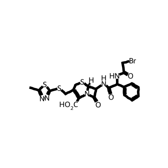 Cc1nnc(SCC2=C(C(=O)O)N3C(=O)C(NC(=O)C(NC(=O)CBr)c4ccccc4)[C@H]3SC2)s1